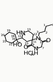 CCCCN1C(=O)CNC(=O)C12CCNC(C1(O)CCCCC1)C2.Cl